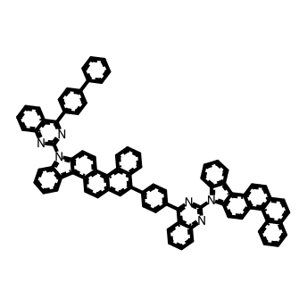 c1ccc(-c2ccc(-c3nc(-n4c5ccccc5c5c6ccc7cc(-c8ccc(-c9nc(-n%10c%11ccccc%11c%11c%12ccc%13ccc%14ccccc%14c%13c%12ccc%11%10)nc%10ccccc9%10)cc8)c8ccccc8c7c6ccc54)nc4ccccc34)cc2)cc1